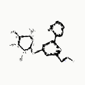 C[C@@H]1O[C@@H](Oc2cc(/C=N/O)nc(-c3ccccn3)c2)[C@H](O)[C@H](O)[C@H]1O